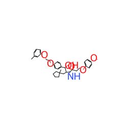 COc1ccc(OCCC(=O)C(=N)C(CC2(C)CCCC2)[C@H](O)c2ccc(OCCOc3cccc(C)c3)cc2)cc1